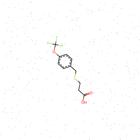 O=C(O)CCSCc1ccc(OC(F)(F)F)cc1